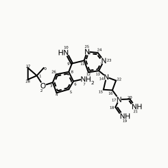 CC1(Oc2ccc(N)c(C(=N)c3cc(N4CC(N(C=N)C=N)C4)ncn3)c2)CC1